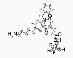 CC(CC(=O)O)N1CC(=O)N(Cc2ccccc2)c2ccc(CCCCCN)cc2C1=O.O=C(O)C(F)(F)F